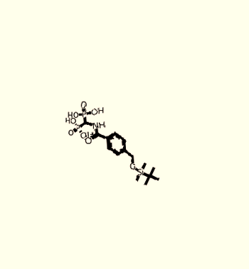 CC(C)(C)[Si](C)(C)OCc1ccc(C(=O)NC(P(=O)(O)O)P(=O)(O)O)cc1